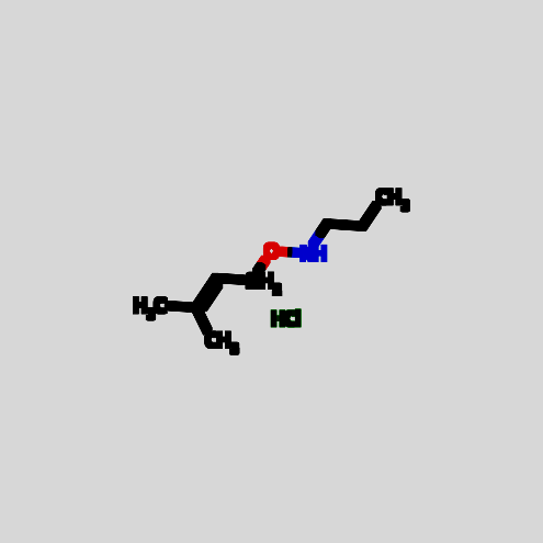 CCCNO[SiH2]C=C(C)C.Cl